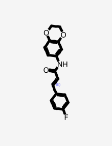 O=C(/C=C/c1ccc(F)cc1)Nc1ccc2c(c1)OCCO2